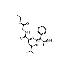 CCOC(=O)CNC(=O)C1=N/C(=C(/C(C)=N)c2ccccc2)NC(C(C)C)=C1